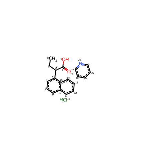 CCC(C(=O)O)c1cccc2ccccc12.Cl.c1ccncc1